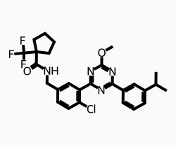 COc1nc(-c2cccc(C(C)C)c2)nc(-c2cc(CNC(=O)C3(C(F)(F)F)CCCC3)ccc2Cl)n1